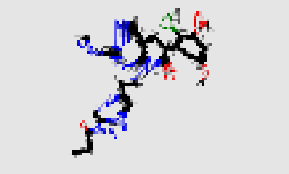 C=CC(=O)Nc1cnc(CCn2c(=O)c(-c3cc(OC)cc(OC)c3Cl)cc3cnc(NC)nc32)cn1